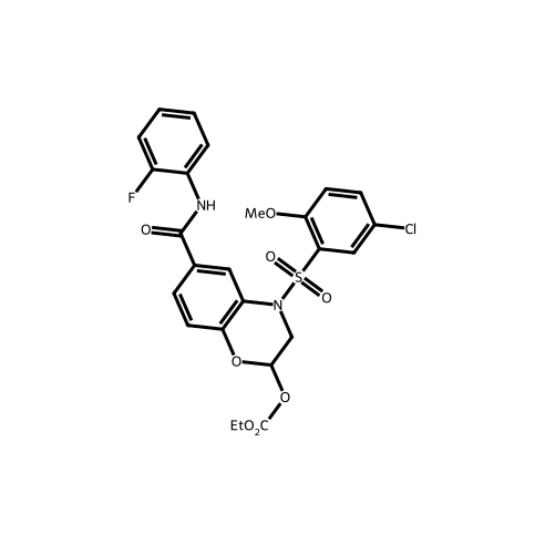 CCOC(=O)OC1CN(S(=O)(=O)c2cc(Cl)ccc2OC)c2cc(C(=O)Nc3ccccc3F)ccc2O1